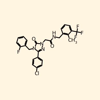 Cc1c(CNC(=O)Cn2nc(-c3ccc(Cl)cc3)n(Cc3ccccc3F)c2=O)cccc1C(F)(F)F